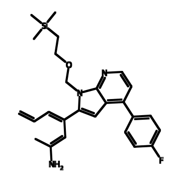 C=C/C=C(\C=C(/C)N)c1cc2c(-c3ccc(F)cc3)ccnc2n1COCC[Si](C)(C)C